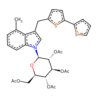 CC(=O)OC[C@H]1O[C@@H](n2cc(Cc3ccc(-c4cccs4)s3)c3c(C)cccc32)[C@H](OC(C)=O)[C@@H](OC(C)=O)[C@@H]1OC(C)=O